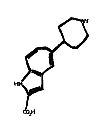 O=C(O)c1cc2cc(C3CCNCC3)ccc2[nH]1